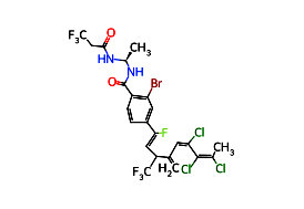 C=C(/C=C(Cl)\C(Cl)=C(/C)Cl)C(/C=C(\F)c1ccc(C(=O)N[C@H](C)NC(=O)CC(F)(F)F)c(Br)c1)C(F)(F)F